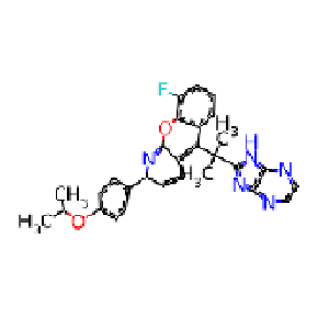 CC(C)Oc1ccc([C@@H]2C=CC3=C(C(C)(C)c4nc5nccnc5[nH]4)c4cccc(F)c4OC3=N2)cc1